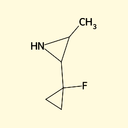 CC1NC1C1(F)CC1